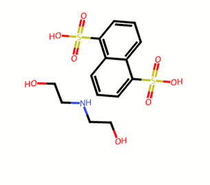 O=S(=O)(O)c1cccc2c(S(=O)(=O)O)cccc12.OCCNCCO